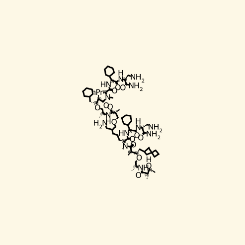 CCC[C@@H](C(=O)N[C@H](C(=O)N[C@@H](CN)C(N)=O)C1CCCCC1)N(C)C(=O)[C@H](C)[C@@H](CC1CCCCC1)OC[C@@H](C)NC(=O)[C@@H](C)COCC(CN)CCC[C@@H](C(=O)N[C@H](C(=O)N[C@@H](CN)C(N)=O)C1CCCCC1)N(C)C(=O)[C@H](C)[C@@H](CC1CC2(CCC2)C1)OC[C@@H](C)NC(=O)[C@@H](C)[C@H](C)O